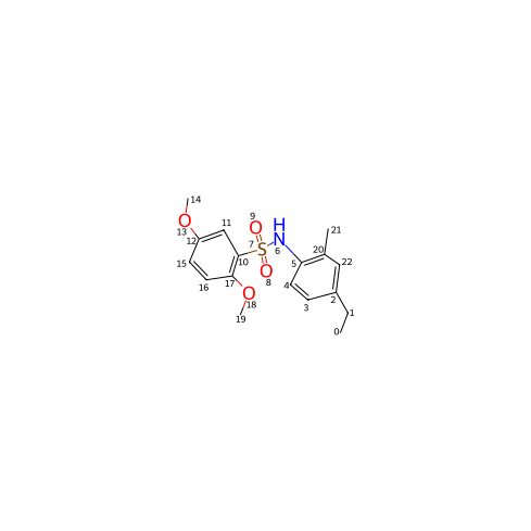 CCc1ccc(NS(=O)(=O)c2cc(OC)ccc2OC)c(C)c1